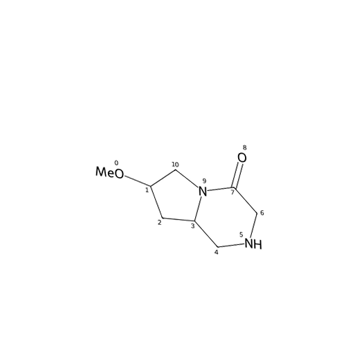 COC1CC2CNCC(=O)N2C1